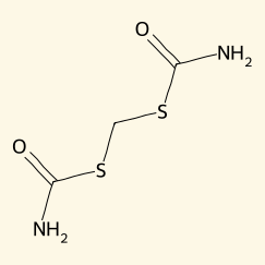 NC(=O)SCSC(N)=O